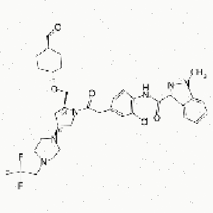 Cn1nc(C(=O)Nc2ccc(CC(=O)N3C[C@@H](N4CCN(CC(F)(F)F)CC4)C[C@H]3CO[C@H]3CC[C@H](C=O)CC3)cc2Cl)c2ccccc21